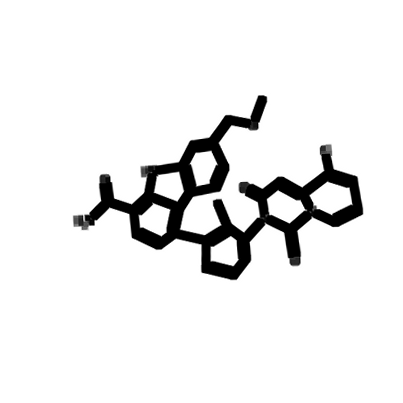 COCc1ccc2c(c1)[nH]c1c(C(N)=O)ccc(-c3cccc(-n4c(=O)cc5c(Cl)cccn5c4=O)c3C)c12